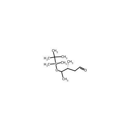 CC(O[Si](C)(C)C(C)(C)C)[C@H](C)CC=O